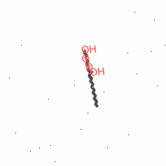 CCCCCCCCCCC=CC(O)COCCOCCO